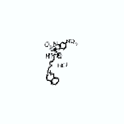 Cl.O=[N+]([O-])c1ccc(S(=O)(=O)NCCCCN2CCc3ccccc3C2)c([N+](=O)[O-])c1